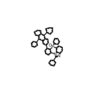 O=P1(c2ccccc2)c2c(-c3ccc4c(-c5ccccc5)c5ccccc5c(-c5ccccc5)c4c3)cccc2-n2c(-c3ccccc3)nc3cccc1c32